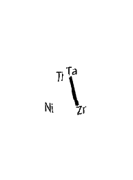 [Ni].[Ti].[Zr][Ta]